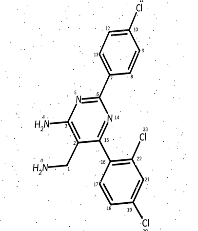 NCc1c(N)nc(-c2ccc(Cl)cc2)nc1-c1ccc(Cl)cc1Cl